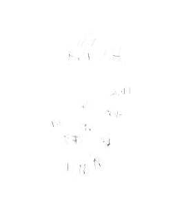 C=P(C)(C)CC[C@H]1O[C@@H](n2c(Br)nc3c(N)ncnc32)[C@H](O)[C@@H]1O